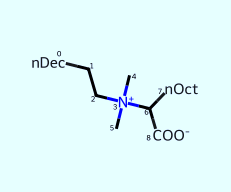 CCCCCCCCCCCC[N+](C)(C)C(CCCCCCCC)C(=O)[O-]